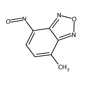 Cc1ccc(N=O)c2nonc12